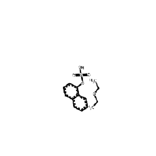 CCOCC.O=S(=O)(O)Oc1cccc2ccccc12